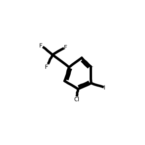 FC(F)(F)c1c[c]c(I)c(Cl)c1